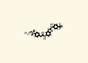 CCS(=O)(=O)c1ccc(CC(=O)Nc2ccc3nc(Nc4ccc(C(F)(F)F)cc4)sc3c2)cc1